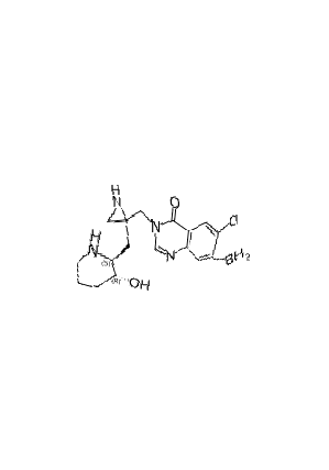 Bc1cc2ncn(CC3(C[C@@H]4NCCC[C@H]4O)CN3)c(=O)c2cc1Cl